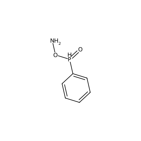 NO[PH](=O)c1ccccc1